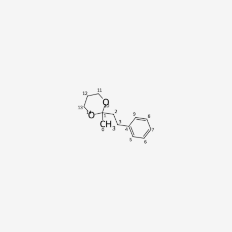 CC1(CCc2ccccc2)OCCCO1